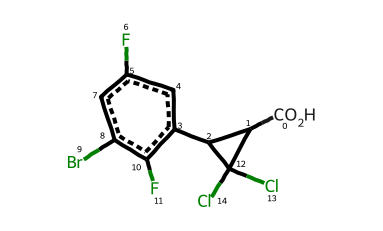 O=C(O)C1C(c2cc(F)cc(Br)c2F)C1(Cl)Cl